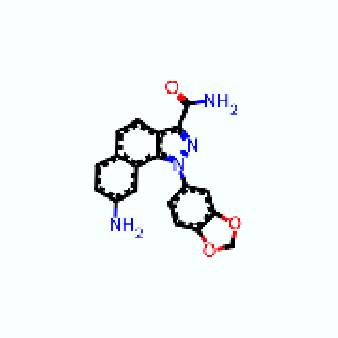 NC(=O)c1nn(-c2ccc3c(c2)OCO3)c2c1ccc1ccc(N)cc12